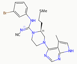 CSCC[C@H]1CN(c2ncnc3[nH]cc(C)c23)CCN1/C(=N\C#N)Nc1cccc(Br)c1